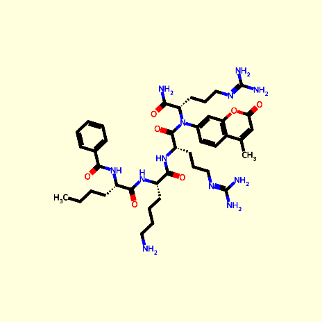 CCCC[C@H](NC(=O)c1ccccc1)C(=O)N[C@@H](CCCCN)C(=O)N[C@@H](CCCN=C(N)N)C(=O)N(c1ccc2c(C)cc(=O)oc2c1)[C@@H](CCCN=C(N)N)C(N)=O